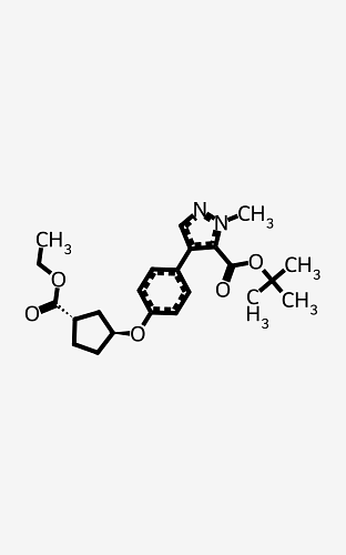 CCOC(=O)[C@H]1CC[C@H](Oc2ccc(-c3cnn(C)c3C(=O)OC(C)(C)C)cc2)C1